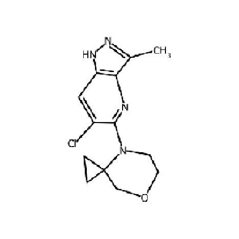 Cc1n[nH]c2cc(Cl)c(N3CCOCC34CC4)nc12